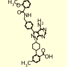 COc1ccccc1C(=O)NCc1ccc(-c2nn(C3CCC(c4cc(C)ccc4C(=O)O)CC3)c3ncnc(N)c23)cc1